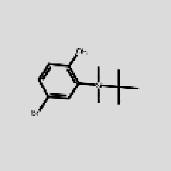 CC(C)(C)[Si](C)(C)c1cc(Br)ccc1O